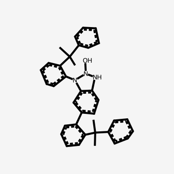 CC(C)(c1ccccc1)c1ccccc1-c1ccc2c(c1)N(c1ccccc1C(C)(C)c1ccccc1)N(O)N2